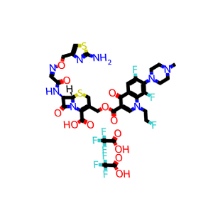 CN1CCN(c2c(F)cc3c(=O)c(C(=O)OCC4=C(C(=O)O)N5C(=O)[C@@H](NC(=O)/C=N\OCc6csc(N)n6)[C@H]5SC4)cn(CCF)c3c2F)CC1.O=C(O)C(F)(F)F.O=C(O)C(F)(F)F